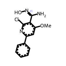 COc1cc(-c2ccccc2)nc(Cl)c1/C(N)=N\O